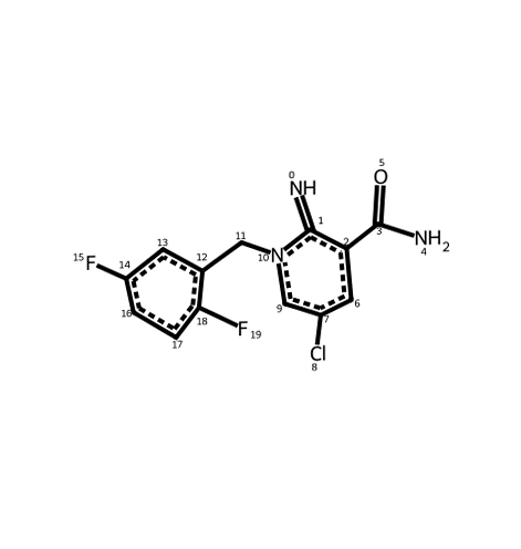 N=c1c(C(N)=O)cc(Cl)cn1Cc1cc(F)ccc1F